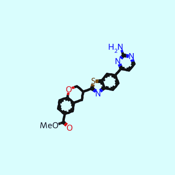 COC(=O)c1ccc2c(c1)CC(c1nc3ccc(-c4ccnc(N)n4)cc3s1)CO2